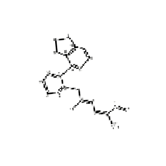 C=N/C(=C\C=C(/C)Cc1ncccc1-c1cccc2c1CCC2)C(F)(F)F